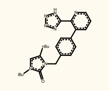 CCCCc1cn(C(C)CC)c(=O)n1Cc1ccc(-c2cccnc2-c2nnn[nH]2)cc1